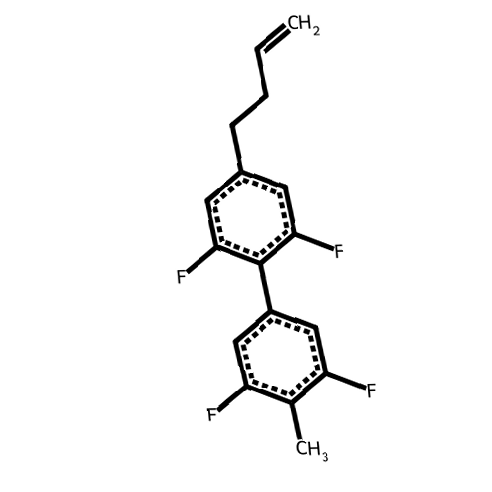 C=CCCc1cc(F)c(-c2cc(F)c(C)c(F)c2)c(F)c1